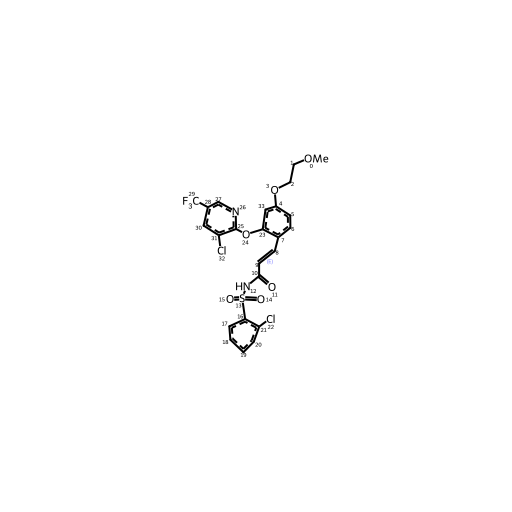 COCCOc1ccc(/C=C/C(=O)NS(=O)(=O)c2ccccc2Cl)c(Oc2ncc(C(F)(F)F)cc2Cl)c1